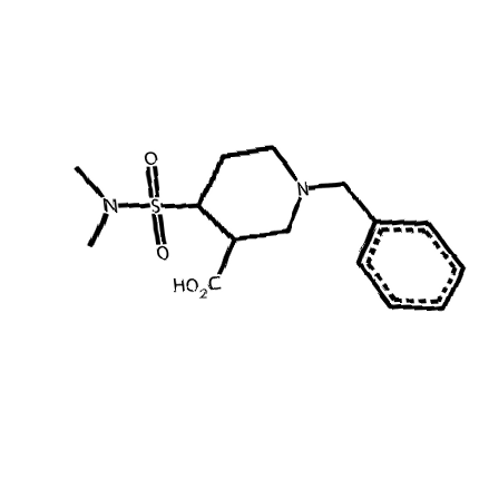 CN(C)S(=O)(=O)C1CCN(Cc2ccccc2)CC1C(=O)O